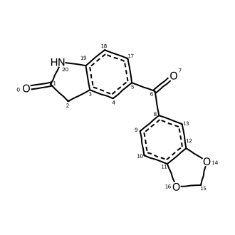 O=C1Cc2cc(C(=O)c3ccc4c(c3)OCO4)ccc2N1